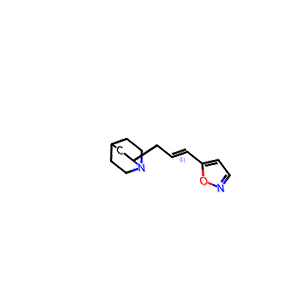 C(=C\c1ccno1)/CC1CC2CCN1CC2